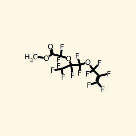 COC(=O)C(F)(F)OC(F)(C(F)(F)F)C(F)(F)OC(F)(F)C(F)=C(F)F